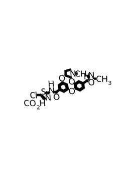 Cc1nnc(-c2ccc(Oc3cc(OC4CCN(C)C4=O)cc(C(=O)Nc4nc(C(=O)O)c(Cl)s4)c3)cc2)o1